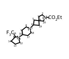 CCOC(=O)N1CCC2(CC(N3CCC(N4CCC[C@H]4C(F)(F)F)CC3)C2)C1